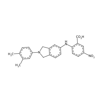 Cc1ccc(N2Cc3ccc(Nc4ccc([N+](=O)[O-])cc4C(=O)O)cc3C2)cc1C